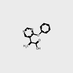 C=C(C(=O)O)c1cncnc1Oc1ccccc1